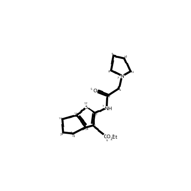 CCOC(=O)c1c(NC(=O)CN2CCCC2)sc2c1CCC2